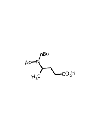 CCCCN(C(C)=O)C(C)CCC(=O)O